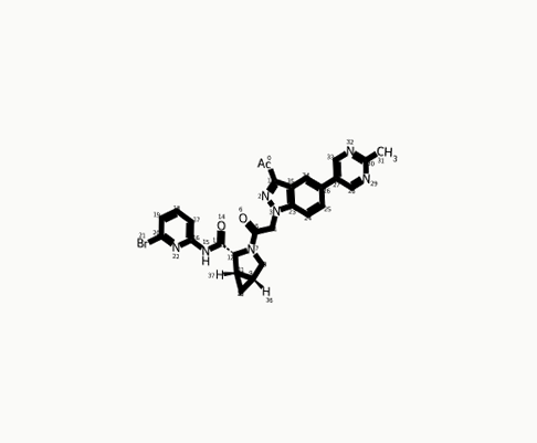 CC(=O)c1nn(CC(=O)N2C[C@@H]3C[C@@H]3[C@@H]2C(=O)Nc2cccc(Br)n2)c2ccc(-c3cnc(C)nc3)cc12